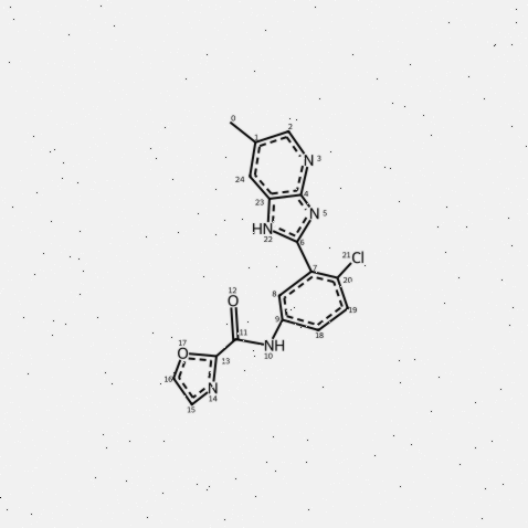 Cc1cnc2nc(-c3cc(NC(=O)c4ncco4)ccc3Cl)[nH]c2c1